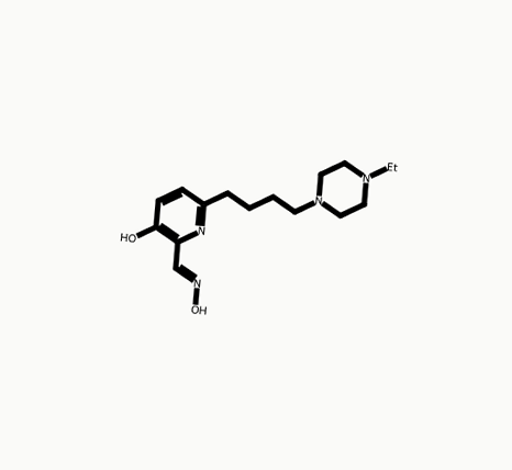 CCN1CCN(CCCCc2ccc(O)c(C=NO)n2)CC1